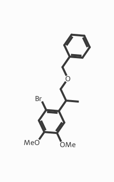 COc1cc(Br)c(C(C)COCc2ccccc2)cc1OC